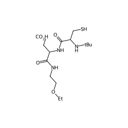 CCOCCNC(=O)C(CC(=O)O)NC(=O)C(CS)NC(C)(C)C